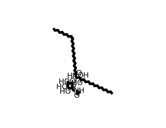 CCCCCCCC/C=C\CCCCCCCCCCCCCC(=O)N[C@@H](CO[C@H]1OC(CNC(C)=O)[C@H](O)[C@H](O)C1O)[C@H](O)[C@H](O)CCCCCCCCCCCCCC